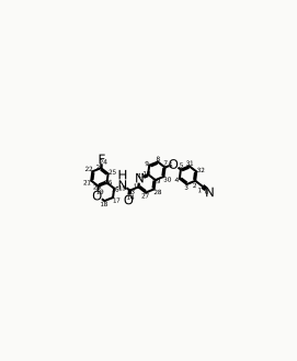 N#Cc1ccc(Oc2ccc3nc(C(=O)N[C@@H]4CCOc5ccc(F)cc54)ccc3c2)cc1